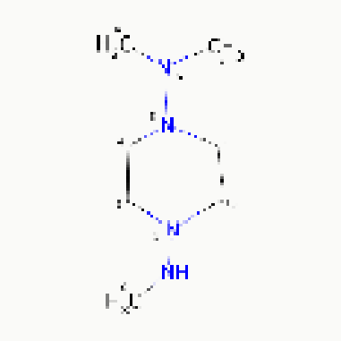 CNN1CCN(N(C)C)CC1